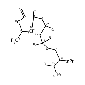 C=C(OC(C(F)(F)F)C(F)(F)F)C(C)(C)CC(C)CC(C)(C)CCC(CCC)C(C)C(C)C